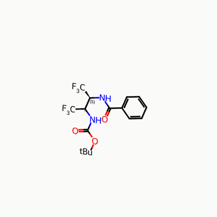 CC(C)(C)OC(=O)N[C]([C@H](NC(=O)c1ccccc1)C(F)(F)F)C(F)(F)F